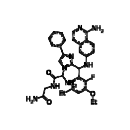 CCOc1cc(CC)cc(C(Nc2ccc3c(N)nccc3c2)c2nc(-c3ccccc3)cn2C(N)C(=O)NCC(N)=O)c1F